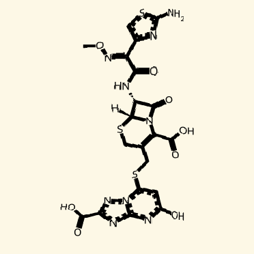 CON=C(C(=O)N[C@@H]1C(=O)N2C(C(=O)O)=C(CSc3cc(O)nc4nc(C(=O)O)nn34)CS[C@H]12)c1csc(N)n1